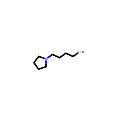 O=[C]CCCCN1CCCC1